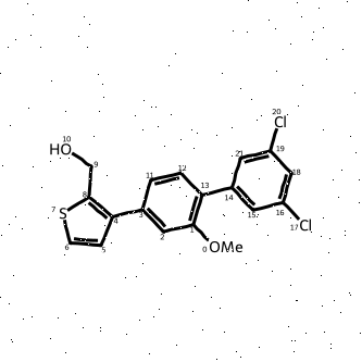 COc1cc(-c2ccsc2CO)ccc1-c1cc(Cl)cc(Cl)c1